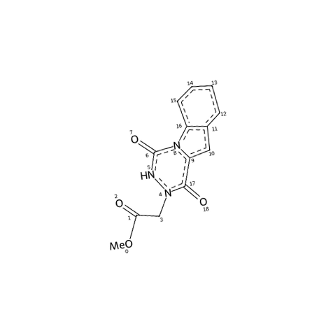 COC(=O)Cn1[nH]c(=O)n2c(cc3ccccc32)c1=O